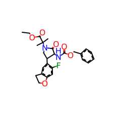 CCOC(=O)C(C)(C)N1CC(c2cc3c(cc2F)OCC3)C(NC(=O)OCc2ccccc2)C1=O